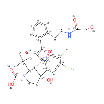 CC(C)(C)C1[C@H](c2noc(-c3ccccc3CCNC(=O)CO)c2Br)[C@@](O)(c2ccc(F)c(F)c2)CCN1C(=O)O